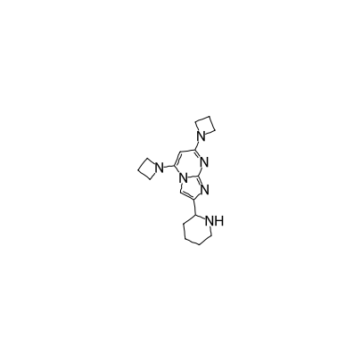 c1c(N2CCC2)nc2nc(C3CCCCN3)cn2c1N1CCC1